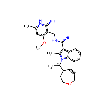 COc1cc(C)[nH]c(=N)c1CNC(=N)c1c(C)n([C@H](C)C2C#CCOCC2)c2ccccc12